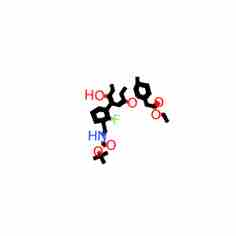 CCOC(=O)Cc1ccc(C)cc1O/C(=C/C(=C(/O)CC)c1cccc(CNC(=O)OC(C)(C)C)c1F)CC